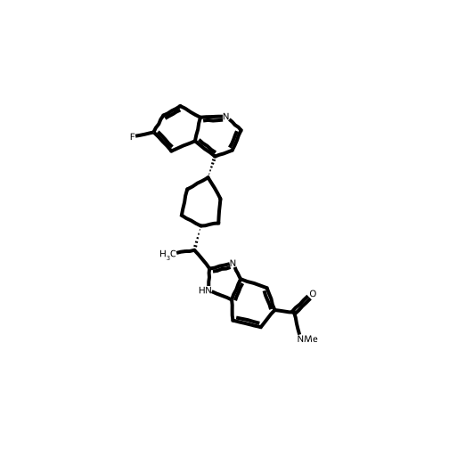 CNC(=O)c1ccc2[nH]c(C(C)[C@H]3CC[C@@H](c4ccnc5ccc(F)cc54)CC3)nc2c1